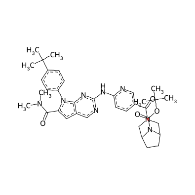 CN(C)C(=O)c1cc2cnc(Nc3ccc(C(=O)N4CC5CCC(C4)N5C(=O)OC(C)(C)C)cn3)nc2n1-c1ccc(C(C)(C)C)cc1